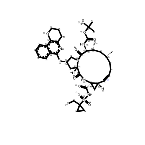 C[C@@H]1CC/C=C\[C@@H]2C[C@@]2(C(=O)NS(=O)(=O)C2(CF)CC2)NC(=O)[C@@H]2C[C@@H](Oc3nc4c(c5ccccc35)OCCC4)CN2C(=O)[C@@H](NC(=O)OC(C)(C)C(F)(F)F)[C@H](C)C1